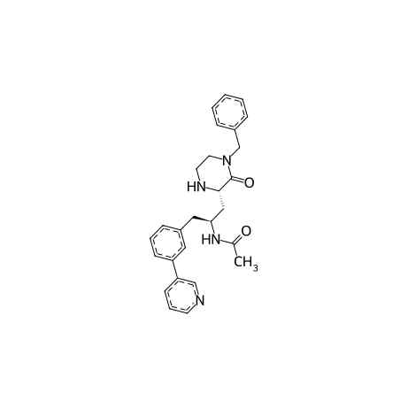 CC(=O)N[C@@H](Cc1cccc(-c2cccnc2)c1)C[C@@H]1NCCN(Cc2ccccc2)C1=O